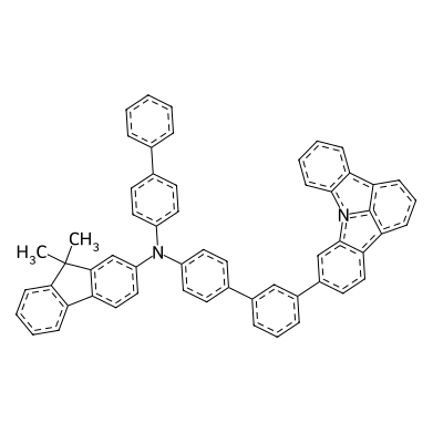 CC1(C)c2ccccc2-c2ccc(N(c3ccc(-c4ccccc4)cc3)c3ccc(-c4cccc(-c5ccc6c7cccc8c9ccccc9n(c6c5)c87)c4)cc3)cc21